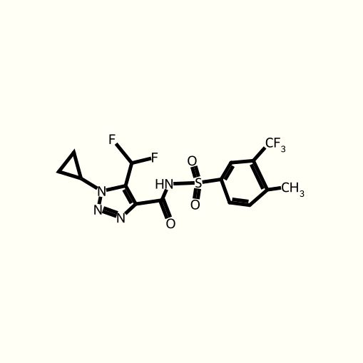 Cc1ccc(S(=O)(=O)NC(=O)c2nnn(C3CC3)c2C(F)F)cc1C(F)(F)F